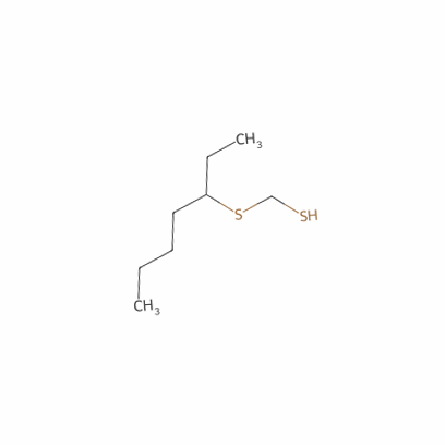 CCCCC(CC)SCS